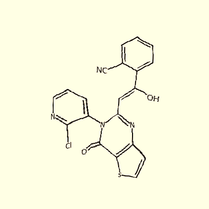 N#Cc1ccccc1C(O)=Cc1nc2ccsc2c(=O)n1-c1cccnc1Cl